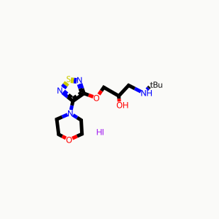 CC(C)(C)NCC(O)COc1nsnc1N1CCOCC1.I